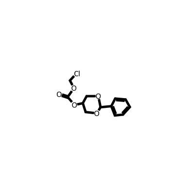 O=C(OCCl)OC1COC(c2ccccc2)OC1